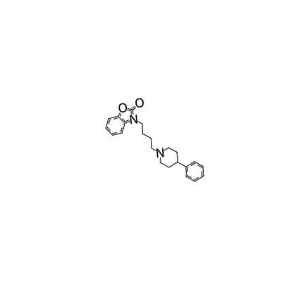 O=c1oc2ccccc2n1CCCCN1CCC(c2ccccc2)CC1